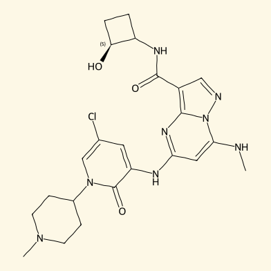 CNc1cc(Nc2cc(Cl)cn(C3CCN(C)CC3)c2=O)nc2c(C(=O)NC3CC[C@@H]3O)cnn12